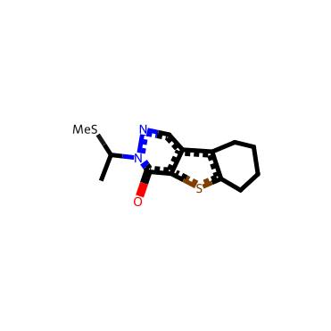 CSC(C)n1ncc2c3c(sc2c1=O)CCCC3